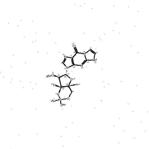 CO[C@@H]1[C@H]2O[Si](C(C)(C)C)(C(C)(C)C)OC[C@H]2O[C@H]1n1cnc2c(=O)n3cc[nH]c3nc21